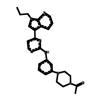 CCCn1cc(-c2ccnc(Nc3cccc(N4CCN(C(C)=O)CC4)c3)n2)c2cccnc21